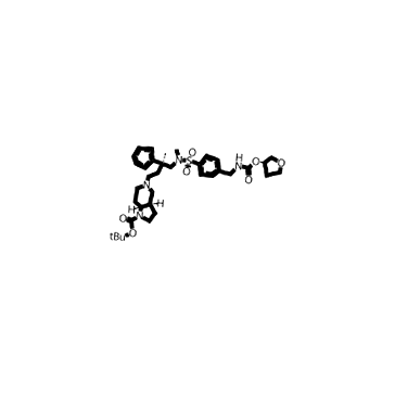 CN(C[C@@](C)(CCN1CC[C@H]2[C@H](CCN2C(=O)OC(C)(C)C)C1)c1ccccc1)S(=O)(=O)c1ccc(CNC(=O)O[C@H]2CCOC2)cc1